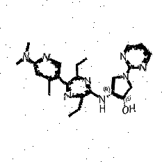 CCc1nc(-c2cnc(N(C)C)cc2C)c(CC)nc1N[C@@H]1CN(c2ncccn2)C[C@@H]1O